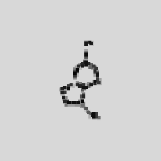 N#Cc1cnc2c(ccn2P)c1